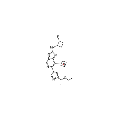 CCOC(C)n1cc(-c2ncn3nc(NC4CCC4F)nc3c2N2CC3CC2C3)cn1